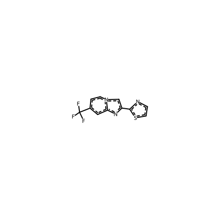 FC(F)(F)c1ccn2cc(-c3nccs3)nc2c1